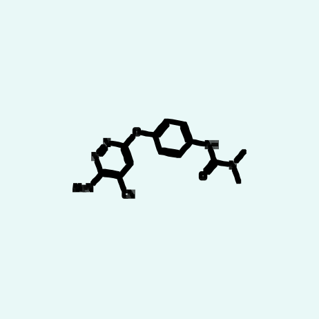 CNc1nnc(Oc2ccc(NC(=O)N(C)C)cc2)cc1C#N